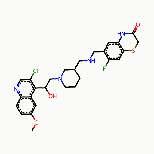 COc1ccc2ncc(Cl)c(C(O)CN3CCCC(CNCc4cc5c(cc4F)SCC(=O)N5)C3)c2c1